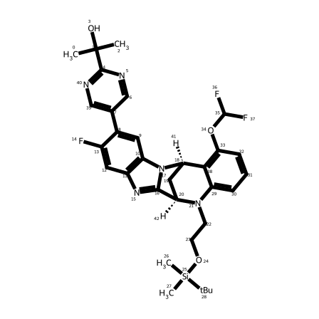 CC(C)(O)c1ncc(-c2cc3c(cc2F)nc2n3[C@@H]3C[C@H]2N(CCO[Si](C)(C)C(C)(C)C)c2cccc(OC(F)F)c23)cn1